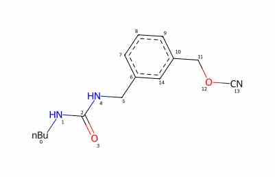 CCCCNC(=O)NCc1cccc(COC#N)c1